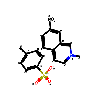 C[n+]1ccc2ccc([N+](=O)[O-])cc2c1.Cc1ccc(S(=O)(=O)[O-])cc1